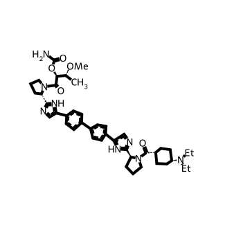 CCN(CC)[C@H]1CC[C@@H](C(=O)N2CCC[C@H]2c2ncc(-c3ccc(-c4ccc(-c5cnc([C@@H]6CCCN6C(=O)[C@@H](OC(N)=O)[C@@H](C)OC)[nH]5)cc4)cc3)[nH]2)CC1